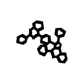 c1ccc(-c2nc(-c3ccc(-c4c(-c5ccccc5)sc5c4c(-c4ccccc4)nc4ccccc45)cc3)c3ccccc3n2)cc1